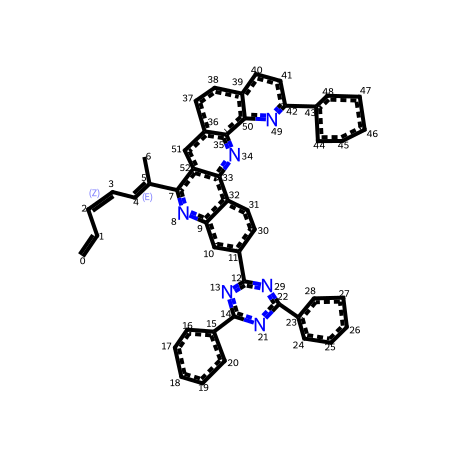 C=C/C=C\C=C(/C)c1nc2cc(-c3nc(-c4ccccc4)nc(-c4ccccc4)n3)ccc2c2nc3c(ccc4ccc(-c5ccccc5)nc43)cc12